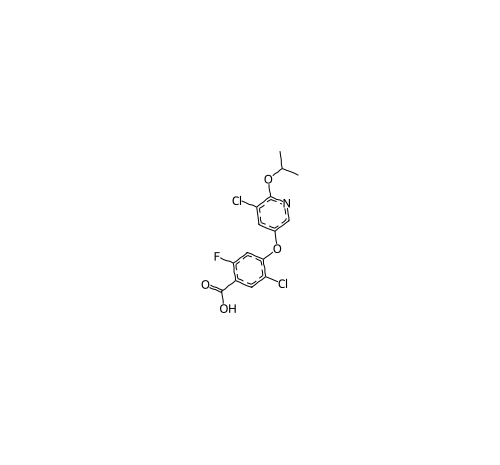 CC(C)Oc1ncc(Oc2cc(F)c(C(=O)O)cc2Cl)cc1Cl